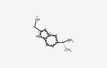 C[C@@H](N)c1ccc2[nH]c(CO)cc2c1